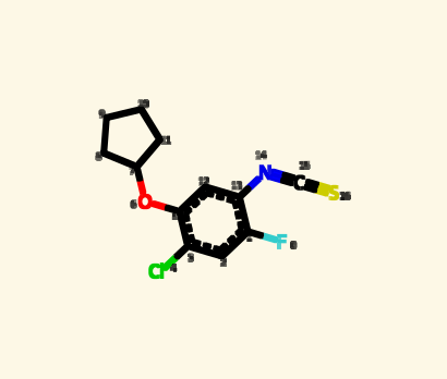 Fc1cc(Cl)c(OC2CCCC2)cc1N=C=S